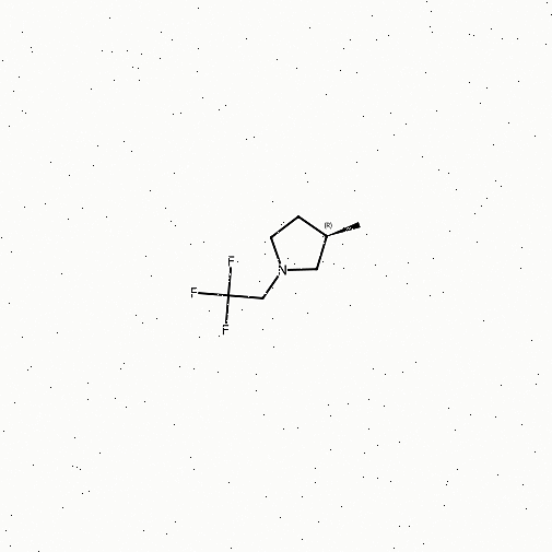 C[C@@H]1CCN(CC(F)(F)F)C1